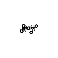 c1ccc(-c2nc(-c3ccccc3)n(-c3ccc(-n4c5ccccc5n5c6ccccc6nc45)cc3)n2)cc1